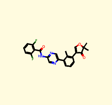 Cc1c(C2=COC(C)(C)C2=O)cccc1-c1cnc(NC(=O)c2c(F)cccc2F)cn1